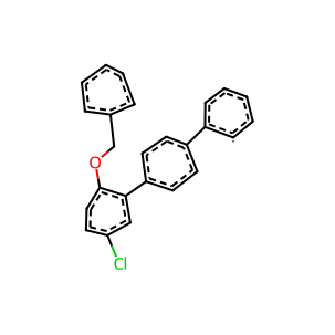 Clc1ccc(OCc2ccccc2)c(-c2ccc(-c3[c]cccc3)cc2)c1